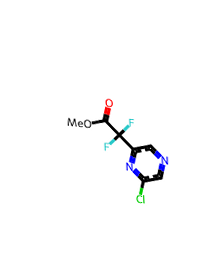 COC(=O)C(F)(F)c1cncc(Cl)n1